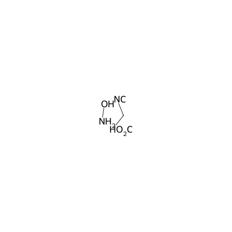 N#CCC(=O)O.NO